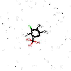 Cc1cc(C(O)(O)O)c(C)c(Cl)c1C